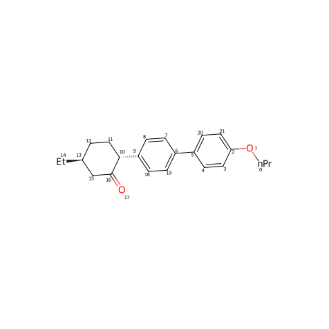 CCCOc1ccc(-c2ccc([C@H]3CC[C@H](CC)CC3=O)cc2)cc1